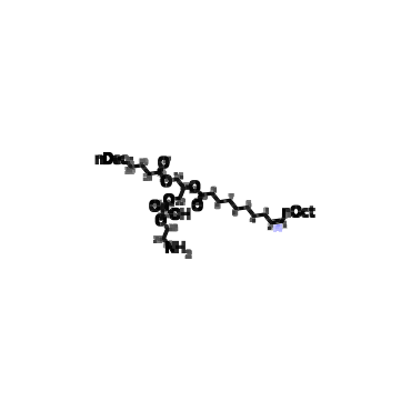 CCCCCCCC/C=C\CCCCCCCC(=O)OC(COC(=O)CCCCCCCCCCCCC)COP(=O)(O)OCCN